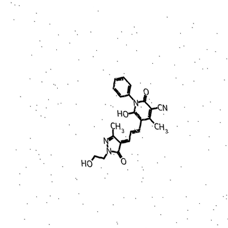 CC1=NN(CCO)C(=O)C1=CC=Cc1c(C)c(C#N)c(=O)n(-c2ccccc2)c1O